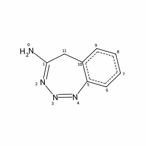 NC1=NN=Nc2ccccc2C1